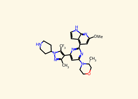 COc1cc(-c2nc(-c3c(C)nn(C4CCNCC4)c3C(F)(F)F)cc(N3CCOC[C@H]3C)n2)c2cc[nH]c2n1